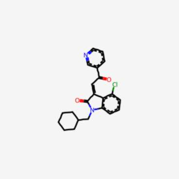 O=C(/C=C1/C(=O)N(CC2CCCCC2)c2cccc(Cl)c21)c1cccnc1